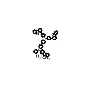 CC1(C)c2ccccc2-c2cc3c4cc(-c5ccc(N(c6ccc(-c7cccc8c7oc7ccccc78)cc6)c6ccc(-c7cccc8c7oc7ccccc78)cc6)cc5)ccc4n(-c4ccccc4)c3cc21